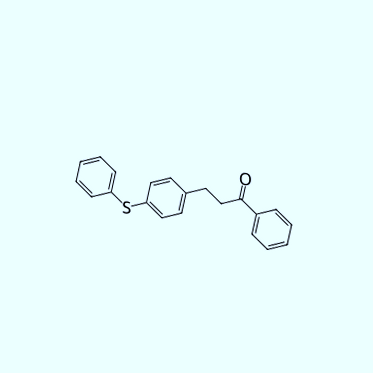 O=C(CCc1ccc(Sc2ccccc2)cc1)c1ccccc1